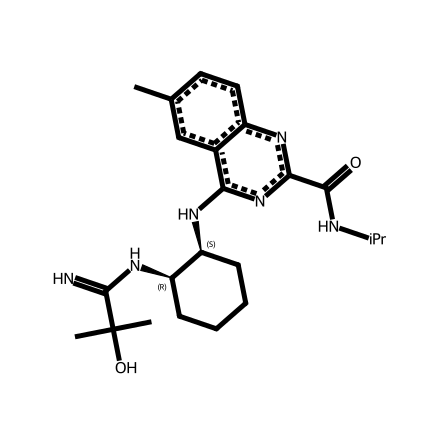 Cc1ccc2nc(C(=O)NC(C)C)nc(N[C@H]3CCCC[C@H]3NC(=N)C(C)(C)O)c2c1